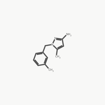 Cc1cccc(Cn2nc(N)cc2C)c1